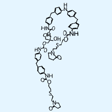 O=C(Nc1ccc(Cc2ccc(NC(=O)OCC(CO)(CO)COC(=O)Nc3ccc(Cc4ccc(Nc5ccc(Cc6ccc(NC(=O)OCCSCCN7CCCC7=O)cc6)cc5)cc4)cc3)cc2)cc1)OCCSCCN1CCCC1=O